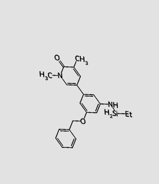 CC[SiH2]Nc1cc(OCc2ccccc2)cc(-c2cc(C)c(=O)n(C)c2)c1